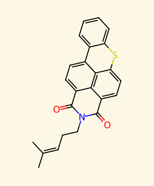 CC(C)=CCCn1c(=O)c2ccc3sc4ccccc4c4ccc(c1=O)c2c34